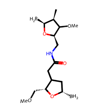 B[C@@H]1O[C@H](CNC(=O)CC2C[C@H](B)O[C@@H]2COC)C(OC)[C@@H]1C